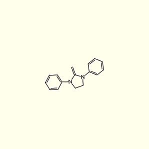 C=C1N(c2ccccc2)CCN1c1ccccc1